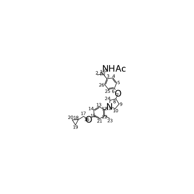 CC(=O)N[C@@H](C)c1ccc(OC2CCN(c3ccc(OCC4CC4)cc3C)C2)cc1